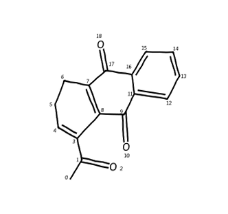 CC(=O)C1=CCCC2=C1C(=O)c1ccccc1C2=O